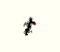 O=C(Nc1ccc(Oc2ccnc(NC(=O)C3CC3)c2)nc1)Nc1cc(N2CCC(F)CC2)cc(C(F)(F)F)c1